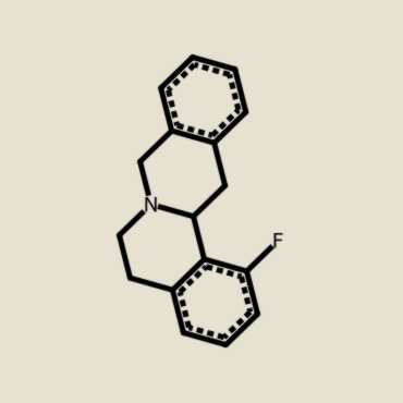 Fc1cccc2c1C1Cc3ccccc3CN1CC2